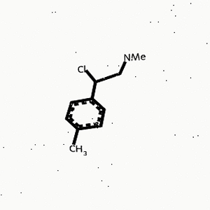 CNCC(Cl)c1ccc(C)cc1